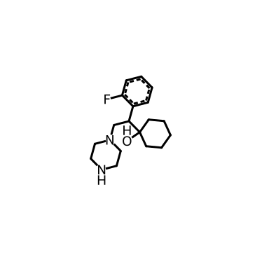 OC1(C(CN2CCNCC2)c2ccccc2F)CCCCC1